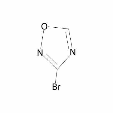 Brc1ncon1